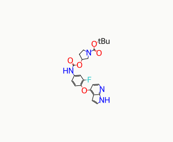 CC(C)(C)OC(=O)N1CCC(OC(=O)Nc2ccc(Oc3ccnc4[nH]ccc34)c(F)c2)C1